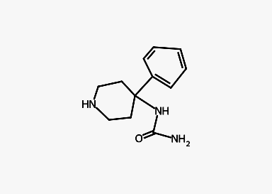 NC(=O)NC1(c2ccccc2)CCNCC1